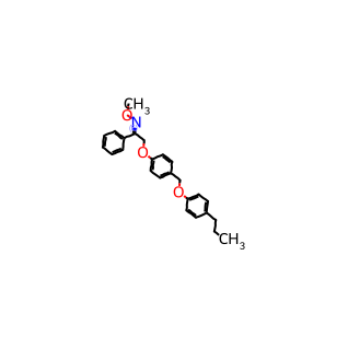 CCCc1ccc(OCc2ccc(OC/C(=N/OC)c3ccccc3)cc2)cc1